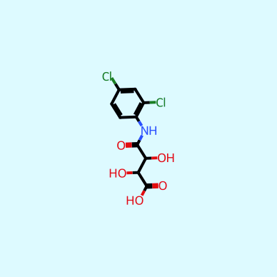 O=C(O)C(O)C(O)C(=O)Nc1ccc(Cl)cc1Cl